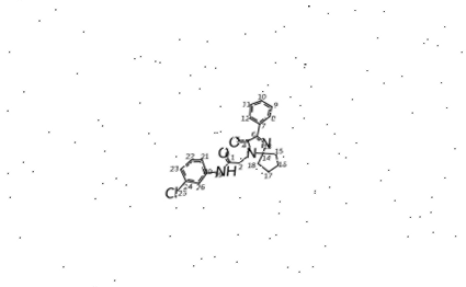 O=C(CN1C(=O)C(c2ccccc2)=NC12CCCC2)Nc1cccc(Cl)c1